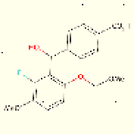 COCOc1ccc(OC)c(F)c1C(O)c1ccc(C(=O)O)cc1